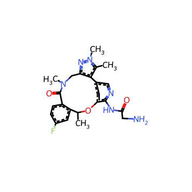 Cc1c2c(nn1C)CN(C)C(=O)c1ccc(F)cc1C(C)Oc1cc-2cnc1NC(=O)CN